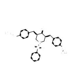 COc1ccc(C=C2CN(S(=O)(=O)c3ccccc3)CC(=Cc3ccc(OC)cc3)C2=O)cc1